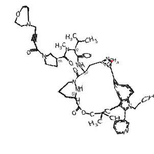 CCn1c(-c2cccnc2)c2c3cc(ccc31)-c1cnc(n1C)C[C@H](NC(=O)[C@H](C(C)C)N(C)C(=O)[C@H]1CCN(C(=O)C#CCN3CCOCC3)C1)C(=O)N1CCC[C@H](N1)C(=O)OCC(C)(C)C2